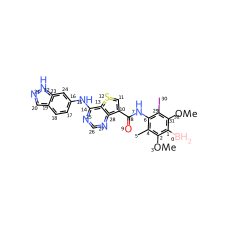 Bc1c(OC)c(C)c(NC(=O)c2csc3c(Nc4ccc5cn[nH]c5c4)ncnc23)c(I)c1OC